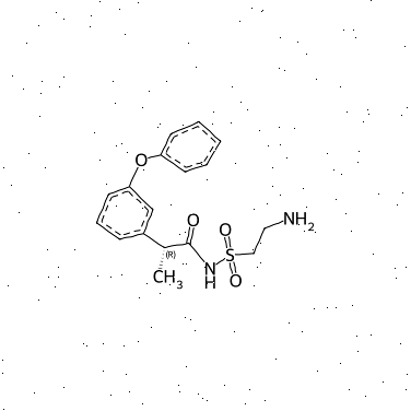 C[C@@H](C(=O)NS(=O)(=O)CCN)c1cccc(Oc2ccccc2)c1